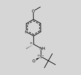 COc1ccc([C@@H](C)N[S@+]([O-])C(C)(C)C)nc1